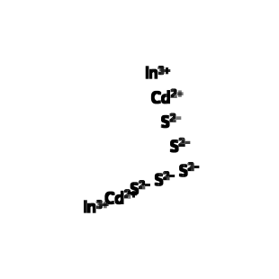 [Cd+2].[Cd+2].[In+3].[In+3].[S-2].[S-2].[S-2].[S-2].[S-2]